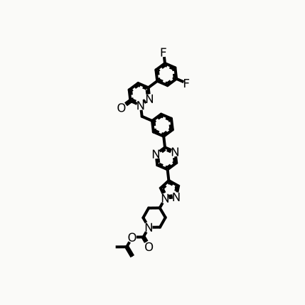 C=C(C)OC(=O)N1CCC(n2cc(-c3cnc(-c4cccc(Cn5nc(-c6cc(F)cc(F)c6)ccc5=O)c4)nc3)cn2)CC1